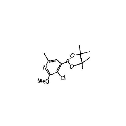 COc1nc(C)cc(B2OC(C)(C)C(C)(C)O2)c1Cl